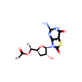 CC[C@H](OC(=O)C(C)C)[C@@H]1C[C@@H](O)[C@H](n2c(=O)sc3c(=O)[nH]c(N)nc32)O1